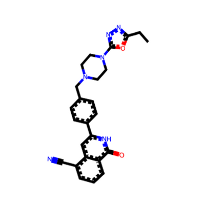 CCc1nnc(N2CCN(Cc3ccc(-c4cc5c(C#N)cccc5c(=O)[nH]4)cc3)CC2)o1